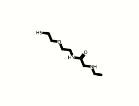 CCNCC(=O)NCCOCCS